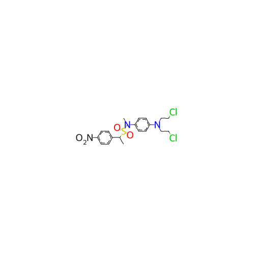 CC(c1ccc([N+](=O)[O-])cc1)S(=O)(=O)N(C)c1ccc(N(CCCl)CCCl)cc1